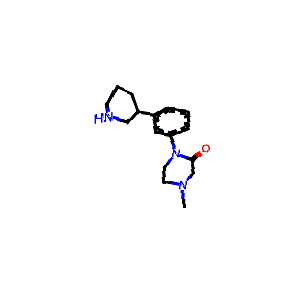 CN1CCN(c2cccc(C3CCCNC3)c2)C(=O)C1